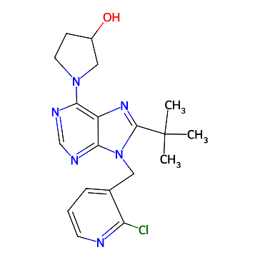 CC(C)(C)c1nc2c(N3CCC(O)C3)ncnc2n1Cc1cccnc1Cl